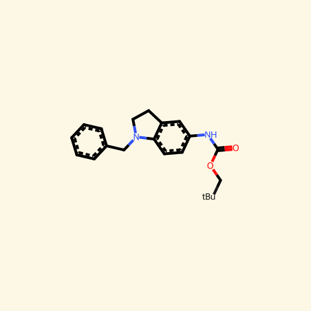 CC(C)(C)COC(=O)Nc1ccc2c(c1)CCN2Cc1ccccc1